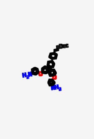 CCCCCCCCCCCC[C@H]1CC[C@H](C2CCC(c3ccc(Oc4cccc(N)c4)cc3)(c3ccc(Oc4cccc(N)c4)cc3)CC2)CC1